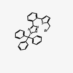 BrCc1ccc(-c2ccccc2-c2nnn(C(c3ccccc3)(c3ccccc3)c3ccccc3)n2)s1